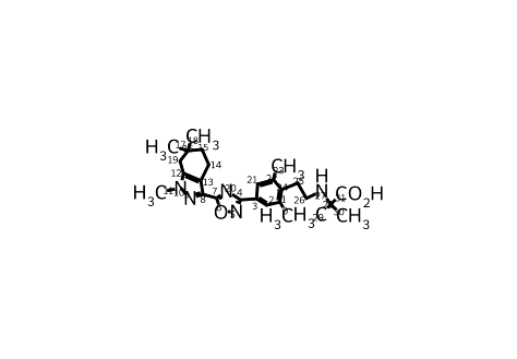 Cc1cc(-c2noc(-c3nn(C)c4c3CCC(C)(C)C4)n2)cc(C)c1CCNC(C)(C)C(=O)O